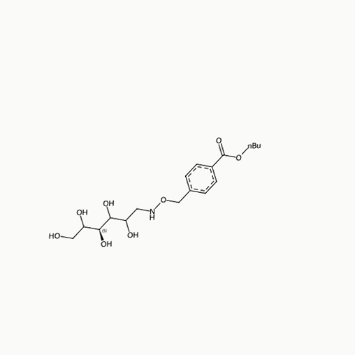 CCCCOC(=O)c1ccc(CONCC(O)C(O)[C@@H](O)C(O)CO)cc1